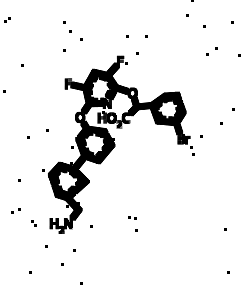 NCc1cccc(-c2cccc(Oc3nc(OC(C(=O)O)c4cccc(Br)c4)c(F)cc3F)c2)c1